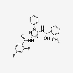 Cc1ccccc1C(O)Nc1nc(NC(=O)c2ccc(F)cc2F)nn1-c1ccccc1